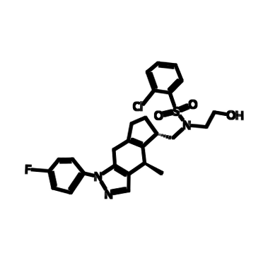 C[C@@H]1C2=C(CC[C@@H]2CN(CCO)S(=O)(=O)c2ccccc2Cl)Cc2c1cnn2-c1ccc(F)cc1